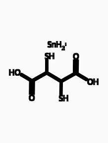 O=C(O)C(S)C(S)C(=O)O.[SnH2]